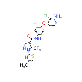 Cc1csc(-n2ncc(C(=O)Nc3ccc(Oc4ccnc(N)c4Cl)c(F)c3)c2C(F)(F)F)n1